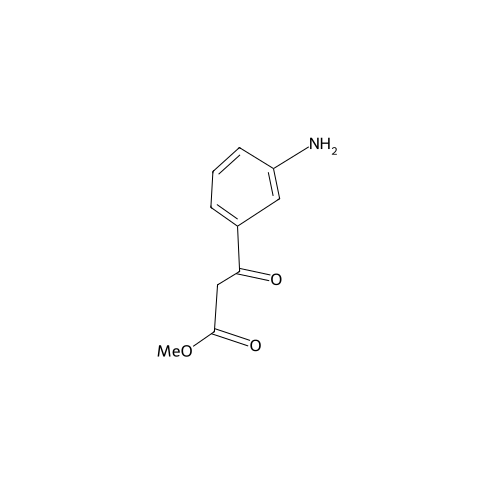 COC(=O)CC(=O)c1cccc(N)c1